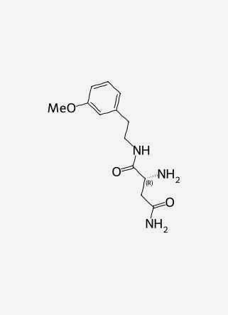 COc1cccc(CCNC(=O)[C@H](N)CC(N)=O)c1